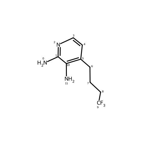 Nc1nccc(CCCC(F)(F)F)c1N